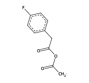 [CH2]C(=O)OC(=O)Cc1ccc(F)cc1